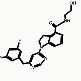 O=C(NCCO)c1cccc2c1CCN2c1cc(Cc2cc(F)cc(F)c2)ncn1